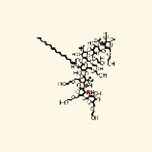 CCCCCCCCCCCCCCCC(=O)NC1C(OC2C(COCCO)OC(OC3C(COCCO)OC(OC4C(COCCO)OC(OC)C(N)C4O)C(NC(C)=O)C3O)C(N(C)C)C2O)OC(COCCO)C(OC2OC(COCCO)C(OC3OC(COCCO)C(OC4OC(COCCO)C(OC)C(O)C4N)C(O)C3NC)C(O)C2[N+](C)(C)C)C1O